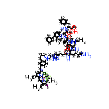 CC1=C(I)C(C)=[N+]2C1=Cc1c(C)cc(/C=C/c3ccc4c(c3)CCCN4CCn3cc(CCC(=O)N[C@H](CCCCN)C(=O)N[C@H](CC(C)C)C(=O)N[C@@H](C(=O)N[C@H](Cc4ccc(-c5ccccc5)cc4)C(=O)N[C@H](Cc4ccccc4)C(=O)O)C(C)C)nn3)n1[B-]2(F)C(F)(F)F